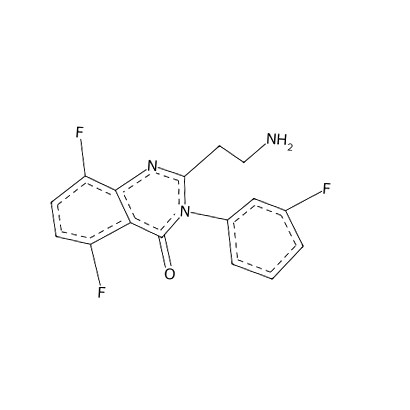 NCCc1nc2c(F)ccc(F)c2c(=O)n1-c1cccc(F)c1